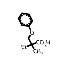 CCC(C)(COc1ccccc1)C(=O)O